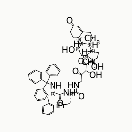 CC(C)C[C@H](NC(=O)[C@H](Cc1ccccc1)NC(c1ccccc1)(c1ccccc1)c1ccccc1)C(=O)NCC(=O)C(O)C(=O)[C@@]1(O)CC[C@H]2[C@@H]3CCC4=CC(=O)CC[C@]4(C)[C@H]3[C@@H](O)C[C@@]21C